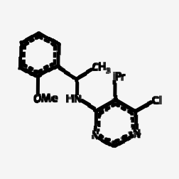 COc1ccccc1C(C)Nc1ncnc(Cl)c1C(C)C